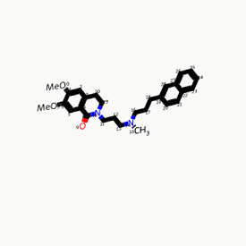 COc1cc2c(cc1OC)C(=O)N(CCCN(C)CCCc1ccc3ccccc3c1)CC2